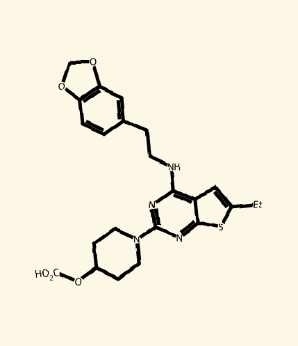 CCc1cc2c(NCCc3ccc4c(c3)OCO4)nc(N3CCC(OC(=O)O)CC3)nc2s1